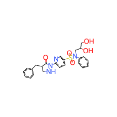 O=C1C(Cc2ccccc2)CNN1c1ccc(S(=O)(=O)N(CC(O)CO)c2ccccc2)cn1